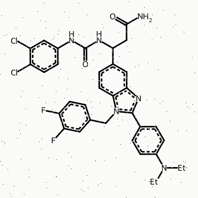 [CH2][CH]N([CH][CH2])c1ccc(-c2nc3cc(C(CC(N)=O)NC(=O)Nc4ccc(Cl)c(Cl)c4)ccc3n2Cc2ccc(F)c(F)c2)cc1